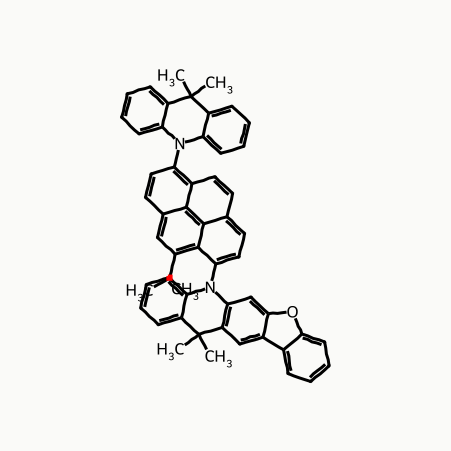 CC(C)c1cc2ccc(N3c4ccccc4C(C)(C)c4ccccc43)c3ccc4ccc(N5c6ccccc6C(C)(C)c6cc7c(cc65)oc5ccccc57)c1c4c23